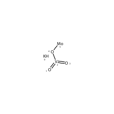 [KH].[O]=[V](=[O])[O][Mo]